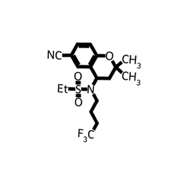 CCS(=O)(=O)N(CCCC(F)(F)F)C1CC(C)(C)Oc2ccc(C#N)cc21